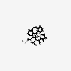 Cc1c2n(ccc1=O)N(C1c3ccccc3CCc3ccccc31)C(CCCN)N(C(C)C)C2=O